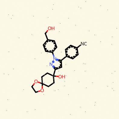 [C-]#[N+]c1ccc(-c2cc(C3(O)CCC4(CC3)OCCO4)nn2-c2ccc(CO)cc2)cc1